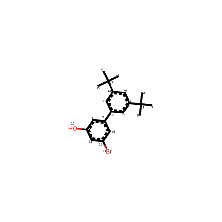 CC(C)(C)c1cc(-c2cc(O)cc(Br)c2)cc(C(C)(C)C)c1